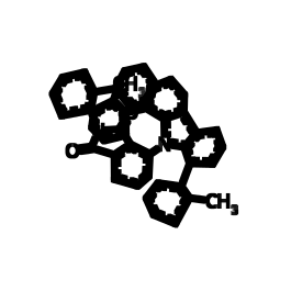 Cc1ccccc1-c1cccc2c3cccc(-c4ccccc4C)c3n(-c3cccc4c3C(=O)N(c3ccccc3-c3ccccc3)C4=O)c12